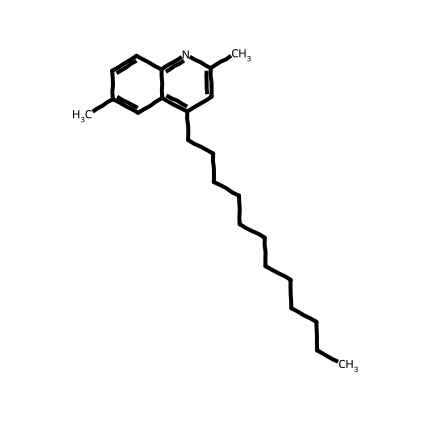 CCCCCCCCCCCCc1cc(C)nc2ccc(C)cc12